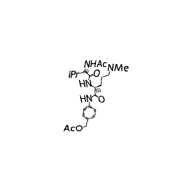 CNCCC[C@H](NC(=O)[C@@H](NC(C)=O)C(C)C)C(=O)Nc1ccc(COC(C)=O)cc1